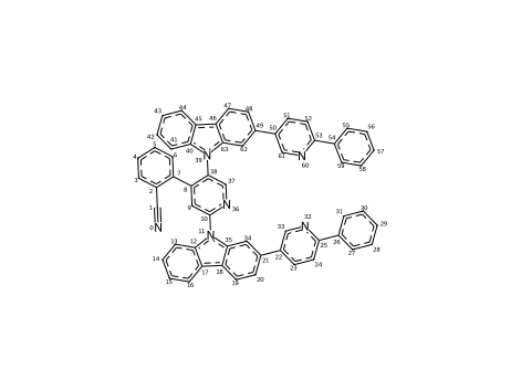 N#Cc1ccccc1-c1cc(-n2c3ccccc3c3ccc(-c4ccc(-c5ccccc5)nc4)cc32)ncc1-n1c2ccccc2c2ccc(-c3ccc(-c4ccccc4)nc3)cc21